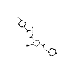 CN(CC(=O)N1CC(C(=O)Nc2ccccc2)CC1C#N)C(=O)c1ccc(Cl)cc1